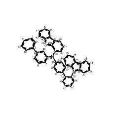 c1ccc(-c2cccc(N(c3ccc(-c4ccccc4-n4c5ccccc5c5ccccc54)cc3)c3cccc4c3sc3ccccc34)c2)cc1